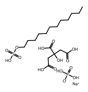 CCCCCCCCCCCCOS(=O)(=O)O.O=C(O)CC(O)(CC(=O)O)C(=O)O.O=P([O-])(O)O.[Na+]